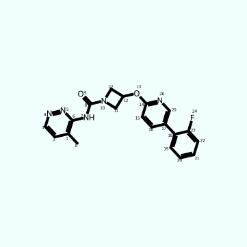 Cc1ccnnc1NC(=O)N1CC(Oc2ccc(-c3ccccc3F)cn2)C1